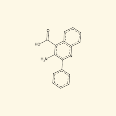 Nc1c(-c2ccccc2)nc2ccccc2c1C(=O)O